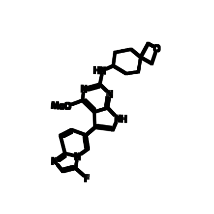 COc1nc(NC2CCC3(CC2)COC3)nc2[nH]cc(-c3ccc4ncc(F)n4c3)c12